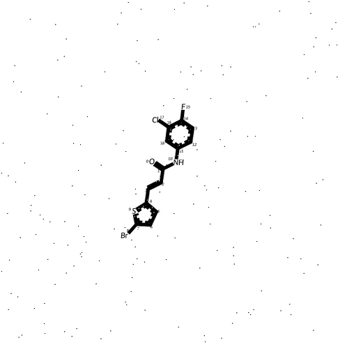 O=C(/C=C/c1ccc(Br)s1)Nc1ccc(F)c(Cl)c1